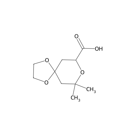 CC1(C)CC2(CC(C(=O)O)O1)OCCO2